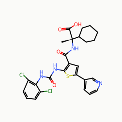 C[C@@](NC(=O)c1cc(-c2cccnc2)sc1NC(=O)Nc1c(Cl)cccc1Cl)(C(=O)O)C1CCCCC1